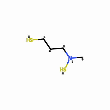 CN(S)CCCS